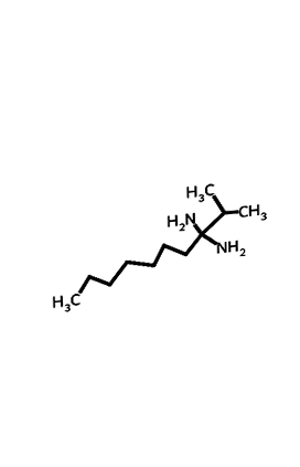 CCCCCCCC(N)(N)C(C)C